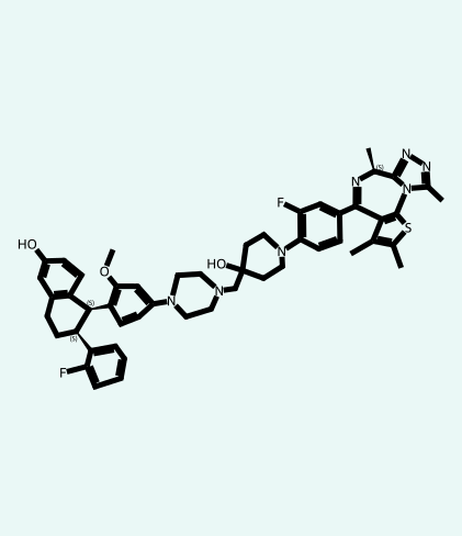 COc1cc(N2CCN(CC3(O)CCN(c4ccc(C5=N[C@@H](C)c6nnc(C)n6-c6sc(C)c(C)c65)cc4F)CC3)CC2)ccc1[C@@H]1c2ccc(O)cc2CC[C@@H]1c1ccccc1F